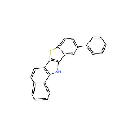 c1ccc(-c2ccc3sc4c5ccc6ccccc6c5[nH]c4c3c2)cc1